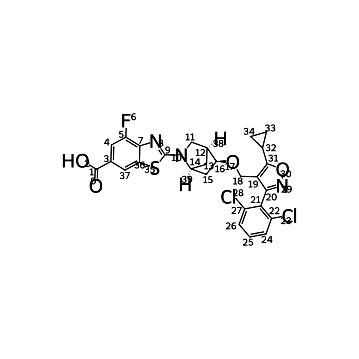 O=C(O)c1cc(F)c2nc(N3C[C@@H]4C[C@H]3C[C@@H]4OCc3c(-c4c(Cl)cccc4Cl)noc3C3CC3)sc2c1